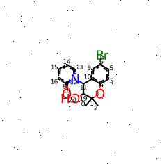 CC1(C)Oc2ccc(Br)cc2C(n2ccccc2=O)C1O